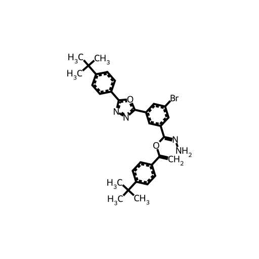 C=C(O/C(=N\N)c1cc(Br)cc(-c2nnc(-c3ccc(C(C)(C)C)cc3)o2)c1)c1ccc(C(C)(C)C)cc1